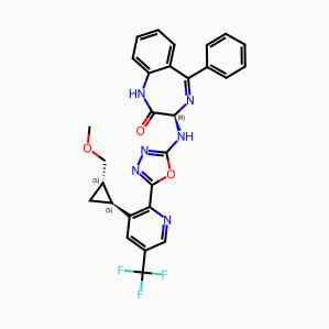 COC[C@H]1C[C@@H]1c1cc(C(F)(F)F)cnc1-c1nnc(N[C@@H]2N=C(c3ccccc3)c3ccccc3NC2=O)o1